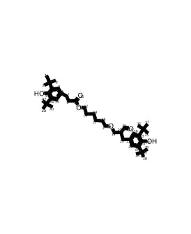 CC(C)(C)c1cc(CCC(=O)OCCCCCCOCC(C=O)Cc2cc(C(C)(C)C)c(O)c(C(C)(C)C)c2)cc(C(C)(C)C)c1O